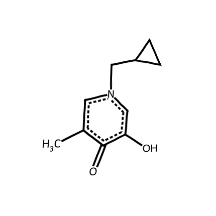 Cc1cn(CC2CC2)cc(O)c1=O